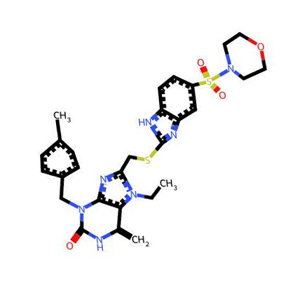 C=C1NC(=O)N(Cc2ccc(C)cc2)c2nc(CSc3nc4cc(S(=O)(=O)N5CCOCC5)ccc4[nH]3)n(CC)c21